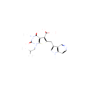 CC(C)Cn1c(=O)n(C)c(=O)c2c(C(=O)O)c(Cc3c[nH]c4ccncc34)sc21